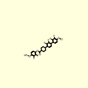 CCCOc1ccc(OC(=O)C2CCC(c3ccc(-c4ccc(OCC)c(F)c4F)c(F)c3F)CC2)c(F)c1F